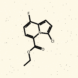 CCOC(=O)c1ccc(F)c2ccc(Cl)n12